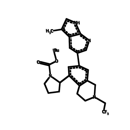 Cc1c[nH]c2ncc(-c3cc4c(c(C5CCCN5C(=O)OC(C)(C)C)c3)CCN(CC(F)(F)F)C4)cc12